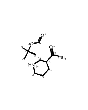 CC(C)(C)OC=O.NC(=O)C1CCCNC1